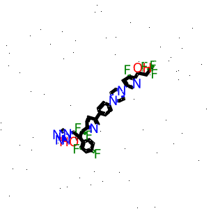 OC(CC(F)(F)F)c1ncc(N2CCN(c3ccc(-c4ccc(C(F)(F)[C@](O)(Cn5cnnn5)c5ccc(F)cc5F)nc4)cc3)CC2)cc1F